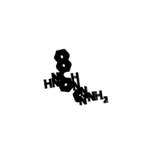 Nc1nccc(Nc2ccc3[nH]nc(-c4ccc5ccccc5c4)c3c2)n1